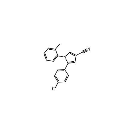 Cc1ccccc1-n1cc(C#N)cc1-c1ccc(Cl)cc1